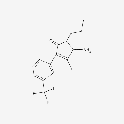 CCCC1C(=O)C(c2cccc(C(F)(F)F)c2)=C(C)C1N